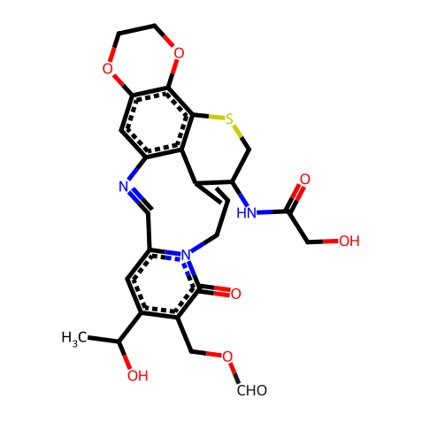 CC(O)c1cc2n(c(=O)c1COC=O)C/C=C1/c3c(cc4c(c3SCC1NC(=O)CO)OCCO4)/N=C/2